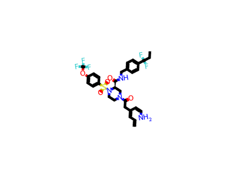 C=C/C=C(\C=C/N)CC(=O)N1CCN(S(=O)(=O)c2ccc(OC(F)(F)F)cc2)[C@@H](C(=O)NCc2ccc(C(F)(F)CC)cc2)C1